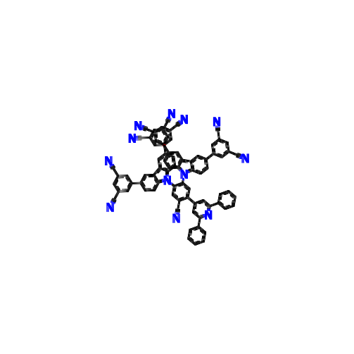 N#Cc1cc(C#N)cc(-c2ccc3c(c2)c2cc(-c4cc(C#N)cc(C#N)c4)ccc2n3-c2cc(C#N)c(-c3cc(-c4ccccc4)nc(-c4ccccc4)c3)cc2-n2c3ccc(-c4cc(C#N)cc(C#N)c4)cc3c3cc(-c4cc(C#N)cc(C#N)c4)ccc32)c1